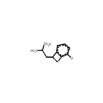 O=C(O)C(CC1Cc2c(Cl)cccc21)C(=O)O